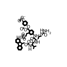 CC(C)[C@H](NC(=O)OCC1c2ccccc2-c2ccccc21)C(=O)N[C@@H](CCCNC(N)=O)C(=O)Nc1ccc(C(OC=O)Oc2ccc([N+](=O)[O-])cc2)c(CCS(=O)(=O)O)c1